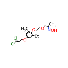 CCc1cc(OCC=C(Cl)Cl)cc(C)c1OCCOCC(C)=NO